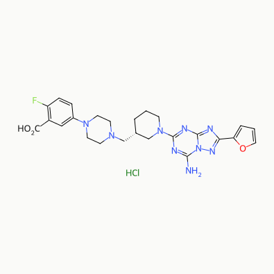 Cl.Nc1nc(N2CCC[C@@H](CN3CCN(c4ccc(F)c(C(=O)O)c4)CC3)C2)nc2nc(-c3ccco3)nn12